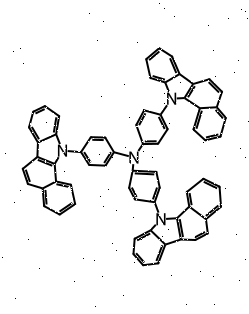 c1ccc2c(c1)ccc1c3ccccc3n(-c3ccc(N(c4ccc(-n5c6ccccc6c6ccc7ccccc7c65)cc4)c4ccc(-n5c6ccccc6c6ccc7ccccc7c65)cc4)cc3)c21